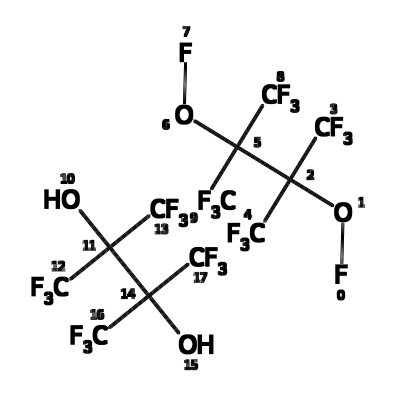 FOC(C(F)(F)F)(C(F)(F)F)C(OF)(C(F)(F)F)C(F)(F)F.OC(C(F)(F)F)(C(F)(F)F)C(O)(C(F)(F)F)C(F)(F)F